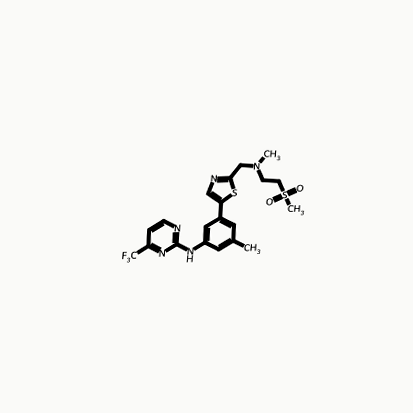 Cc1cc(Nc2nccc(C(F)(F)F)n2)cc(-c2cnc(CN(C)CCS(C)(=O)=O)s2)c1